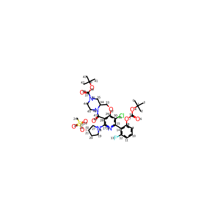 CC(C)(C)OC(=O)Oc1cccc(F)c1-c1nc(N2CC[C@H](OS(C)(=O)=O)C2)c2c(c1Cl)OCC1CN(C(=O)OC(C)(C)C)CCN1C2=O